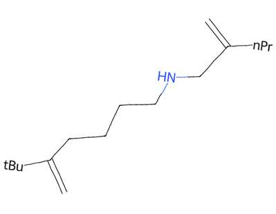 C=C(CCC)CNCCCCC(=C)C(C)(C)C